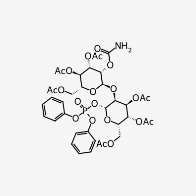 CC(=O)OC[C@@H]1O[C@H](OP(=O)(Oc2ccccc2)Oc2ccccc2)[C@@H](O[C@H]2O[C@H](COC(C)=O)[C@@H](OC(C)=O)[C@H](OC(C)=O)[C@@H]2OC(N)=O)[C@@H](OC(C)=O)[C@@H]1OC(C)=O